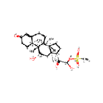 C[C@]12C[C@H](O)[C@H]3[C@@H](CCC4=CC(=O)CC[C@@]43C)[C@@H]1CC[C@@H]2C(=O)C(O)OS(C)(=O)=O